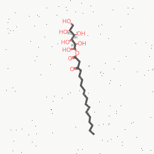 CCCCCCCCCCCCCCCC(=O)CC(=O)OC(O)[C@H](O)[C@@H](O)[C@H](O)[C@H](O)CO